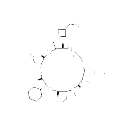 CCCCCC[C@H]1OC[C@@H](C)NC(=O)C(CN2CC(CN)C2)NC(=O)[C@H](CN)NC(=O)[C@H](C2CCCCC2)NC(=O)[C@H](CC(C)C)N(C)C(=O)[C@@H]1C